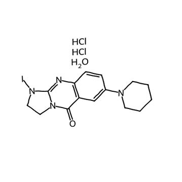 Cl.Cl.O.O=c1c2cc(N3CCCCC3)ccc2nc2n1CCN2I